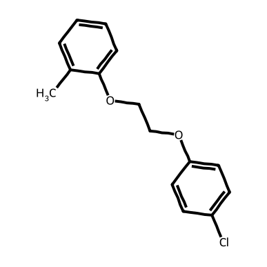 Cc1ccccc1OCCOc1ccc(Cl)cc1